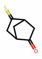 O=C1CC2CC1CC2=S